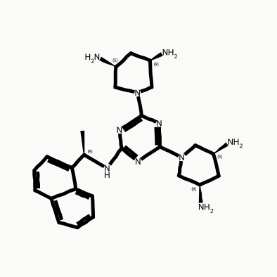 C[C@@H](Nc1nc(N2C[C@H](N)C[C@H](N)C2)nc(N2C[C@H](N)C[C@H](N)C2)n1)c1cccc2ccccc12